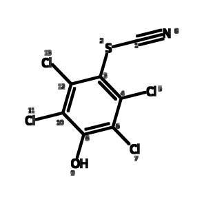 N#CSc1c(Cl)c(Cl)c(O)c(Cl)c1Cl